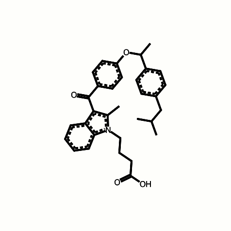 Cc1c(C(=O)c2ccc(OC(C)c3ccc(CC(C)C)cc3)cc2)c2ccccc2n1CCCC(=O)O